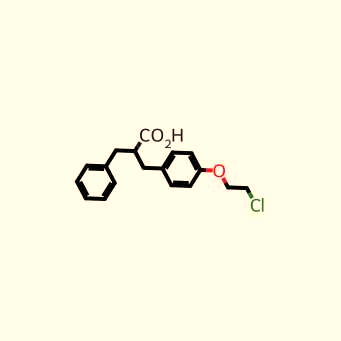 O=C(O)C(Cc1ccccc1)Cc1ccc(OCCCl)cc1